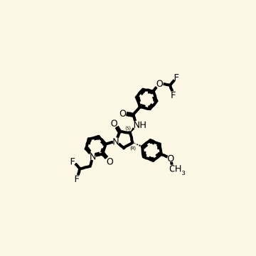 COc1ccc([C@@H]2CN(c3cccn(CC(F)F)c3=O)C(=O)[C@H]2NC(=O)c2ccc(OC(F)F)cc2)cc1